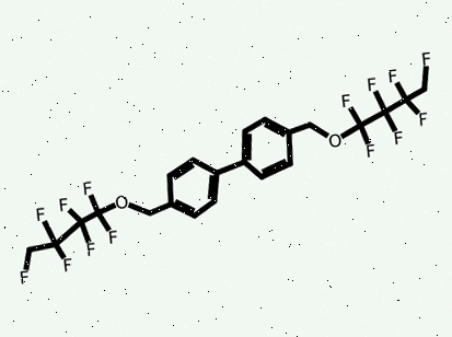 FCC(F)(F)C(F)(F)C(F)(F)OCc1ccc(-c2ccc(COC(F)(F)C(F)(F)C(F)(F)CF)cc2)cc1